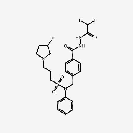 O=C(NNC(=O)C(F)F)c1ccc(CN(c2ccccc2)S(=O)(=O)CCCN2CCC(F)C2)cc1